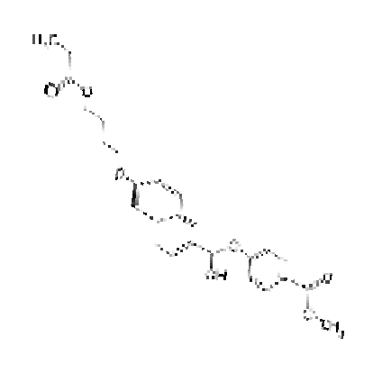 CCC(=O)OCCCCOc1ccc2cc(C(O)Oc3ccc(C(=O)OC)cc3)ccc2c1